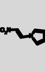 O=[N+]([O-])C=Cn1cccc1